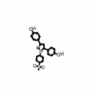 CS(=O)(=O)c1ccc(-n2nc(-c3ccc(O)cc3)cc2-c2ccc(O)cc2)cc1